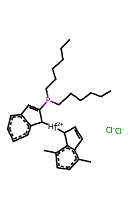 CCCCCCP(CCCCCC)C1=Cc2ccccc2[CH]1[Hf+2][CH]1C=Cc2c(C)ccc(C)c21.[Cl-].[Cl-]